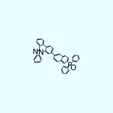 O=P(c1ccccc1)(c1ccccc1)c1ccc2cc(-c3ccc4c5ccccc5c5nc6ccccc6n5c4c3)ccc2c1